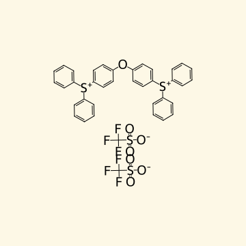 O=S(=O)([O-])C(F)(F)F.O=S(=O)([O-])C(F)(F)F.c1ccc([S+](c2ccccc2)c2ccc(Oc3ccc([S+](c4ccccc4)c4ccccc4)cc3)cc2)cc1